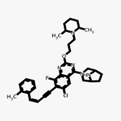 Cc1ccccc1/C=C\C#Cc1c(Cl)cc2c(N3CC4CCC(C3)N4)nc(OCCCN3C(C)CCCC3C)nc2c1F